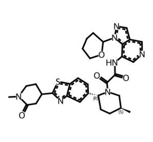 C[C@H]1CC[C@H](c2ccc3sc(C4CCN(C)C(=O)C4)nc3c2)N(C(=O)C(=O)Nc2cncc3cnn(C4CCCCO4)c23)C1